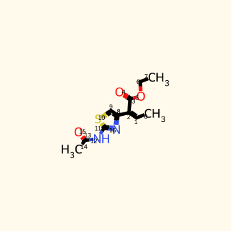 C/C=C(\C(=O)OCC)c1csc(NC(C)=O)n1